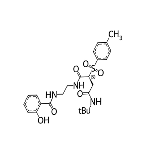 Cc1ccc(S(=O)(=O)[C@@H](CC(=O)NC(C)(C)C)C(=O)NCCNC(=O)c2ccccc2O)cc1